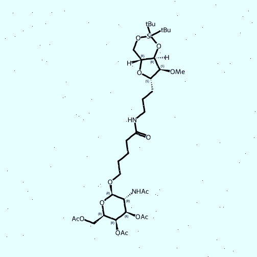 CO[C@@H]1[C@@H]2O[Si](C(C)(C)C)(C(C)(C)C)OC[C@H]2O[C@H]1CCCNC(=O)CCCCO[C@@H]1O[C@H](COC(C)=O)[C@H](OC(C)=O)[C@H](OC(C)=O)[C@H]1NC(C)=O